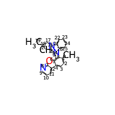 Cc1ccc2c(oc3ncccc32)c1N1CN(CC(C)C)c2ccccc21